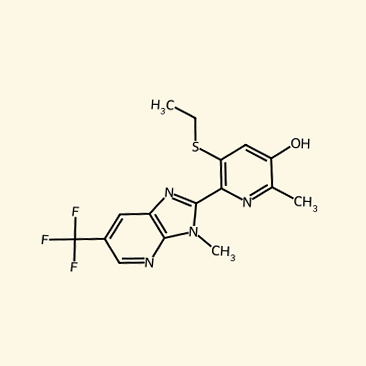 CCSc1cc(O)c(C)nc1-c1nc2cc(C(F)(F)F)cnc2n1C